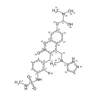 CNS(=O)(=O)Nc1cccc(Cc2c(CN(C)c3ccn[nH]3)c3ccc(OC(O)N(C)C)cc3oc2=O)c1F